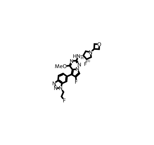 COc1nc(N[C@@H]2CN(C3COC3)C[C@@H]2F)nn2cc(F)c(-c3ccc4nnn(CCF)c4c3)c12